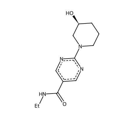 CCNC(=O)c1cnc(N2CCC[C@H](O)C2)nc1